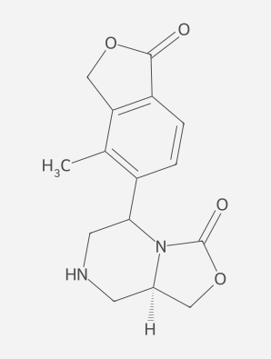 Cc1c(C2CNC[C@@H]3COC(=O)N23)ccc2c1COC2=O